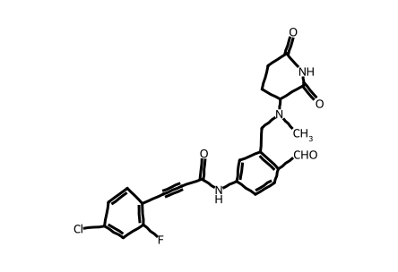 CN(Cc1cc(NC(=O)C#Cc2ccc(Cl)cc2F)ccc1C=O)C1CCC(=O)NC1=O